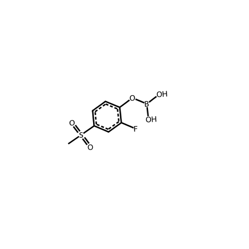 CS(=O)(=O)c1ccc(OB(O)O)c(F)c1